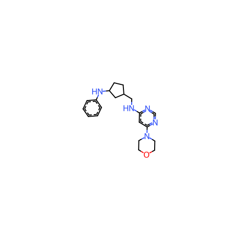 c1ccc(NC2CCC(CNc3cc(N4CCOCC4)ncn3)C2)cc1